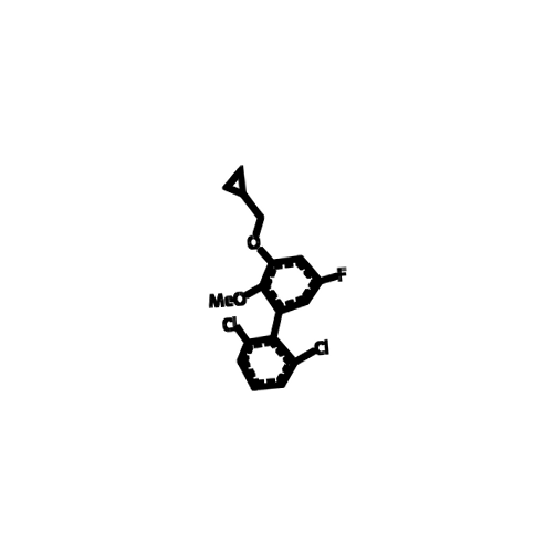 COc1c(OCC2CC2)cc(F)cc1-c1c(Cl)cccc1Cl